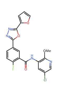 COc1ncc(Cl)cc1NC(=O)c1cc(-c2nnc(-c3ccco3)o2)ccc1F